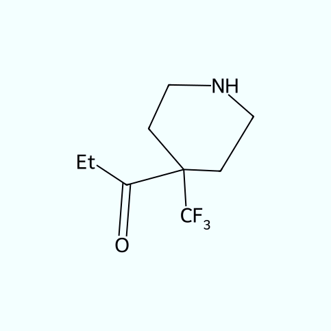 CCC(=O)C1(C(F)(F)F)CCNCC1